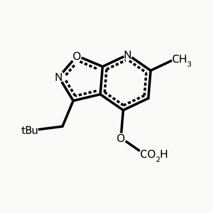 Cc1cc(OC(=O)O)c2c(CC(C)(C)C)noc2n1